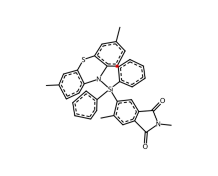 Cc1ccc2c(c1)Sc1cc(C)ccc1N2[Si](c1ccccc1)(c1ccccc1)c1cc2c(cc1C)C(=O)N(C)C2=O